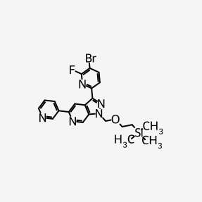 C[Si](C)(C)CCOCn1nc(-c2ccc(Br)c(F)n2)c2cc(-c3cccnc3)ncc21